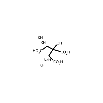 O=C(O)CC(O)(CC(=O)O)C(=O)O.[KH].[KH].[KH].[NaH]